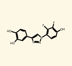 Oc1ccc(-c2cn(-c3ccc(O)c(F)c3F)nn2)cc1O